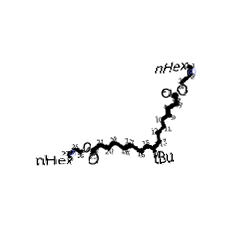 CCCCCC/C=C\COC(=O)CCCCCCCC(CCCCCCCC(=O)OC/C=C\CCCCCC)C(C)(C)C